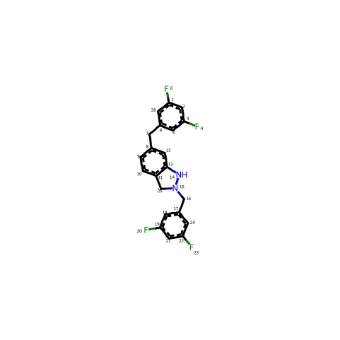 Fc1cc(F)cc(Cc2ccc3c(c2)NN(Cc2cc(F)cc(F)c2)[CH]3)c1